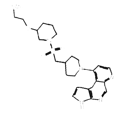 COCCOC1CCCN(S(=O)(=O)CC2CCN(c3ccnc4cnc5[nH]ccc5c34)CC2)C1